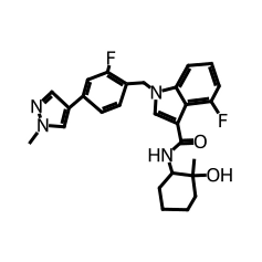 Cn1cc(-c2ccc(Cn3cc(C(=O)NC4CCCCC4(C)O)c4c(F)cccc43)c(F)c2)cn1